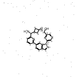 N[C@H](c1cccc(-c2ccc3cnn(-c4cncc(CO)n4)c3c2)n1)C1CC(O)C1